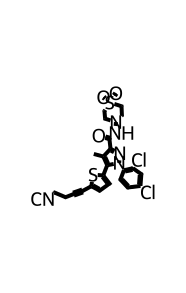 [C-]#[N+]CCC#Cc1ccc(-c2c(C)c(C(=O)NN3CCS(=O)(=O)CC3)nn2-c2ccc(Cl)cc2Cl)s1